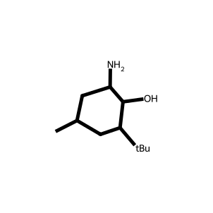 CC1CC(N)C(O)C(C(C)(C)C)C1